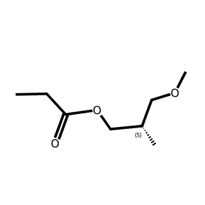 CCC(=O)OC[C@@H](C)COC